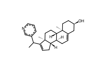 CC(C1=CC[C@H]2[C@@H]3CC=C4C[C@H](O)CC[C@]4(C)[C@H]3CC[C@]12C)c1cccnc1